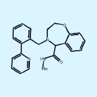 CC(C)(C)NC(=O)C1c2ccccc2OCCN1Cc1ccccc1-c1ccccn1